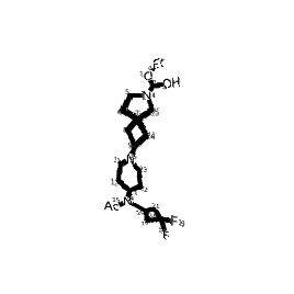 CCOC(O)N1CCC2(CC(N3CCC(N(C(C)=O)C4CC(F)(F)C4)CC3)C2)C1